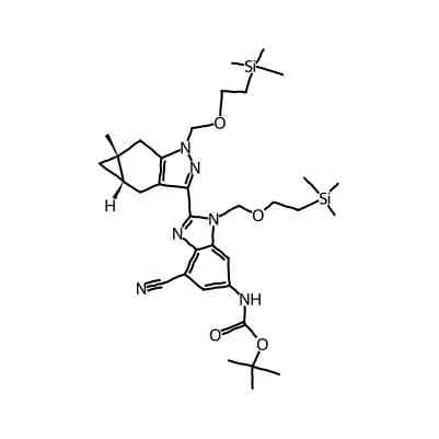 CC(C)(C)OC(=O)Nc1cc(C#N)c2nc(-c3nn(COCC[Si](C)(C)C)c4c3C[C@@H]3C[C@]3(C)C4)n(COCC[Si](C)(C)C)c2c1